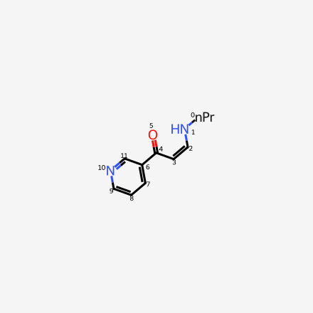 CCCN/C=C\C(=O)c1cccnc1